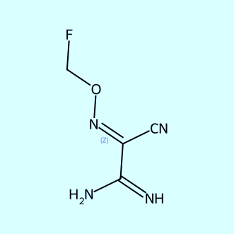 N#C/C(=N\OCF)C(=N)N